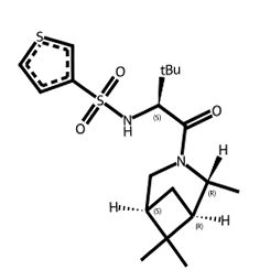 C[C@@H]1[C@@H]2C[C@H](CN1C(=O)[C@@H](NS(=O)(=O)c1ccsc1)C(C)(C)C)C2(C)C